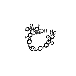 COc1cc(N2CCC(CN3CCN(CC4CCN(c5ccc6c(c5)CN([C@H]5CCC(=O)NC5=O)C6=O)CC4)CC3)CC2)c(F)cc1[C@@H]1N(c2ccc(CO)c(F)c2)C(=O)C12CCCC2